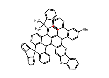 CC(C)(C)c1ccc(N2c3cc4c(cc3B3c5c2cc2c(c5-c5cccc6c5N3c3ccccc3[Si]63c5ccccc5-c5ccccc53)C(C)(C)c3ccccc3-2)oc2ccccc24)c(-c2ccccc2)c1